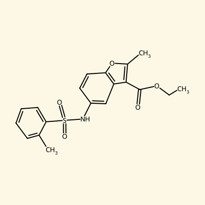 CCOC(=O)c1c(C)oc2ccc(NS(=O)(=O)c3ccccc3C)cc12